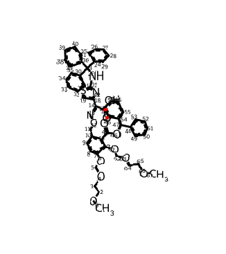 COCCOCOc1ccc(CON=C(C(=O)O)c2csc(NC(c3ccccc3)(c3ccccc3)c3ccccc3)n2)c(C(=O)OC(c2ccccc2)c2ccccc2)c1OCOCCOC